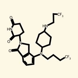 O=C1CCC(N2Cc3c(cccc3N(CCCC(F)(F)F)C3CCC(NCCC(F)(F)F)CC3)C2=O)C(=O)N1